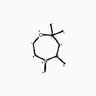 CC1CC(C)(C)OCCN1C